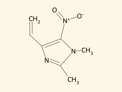 C=Cc1nc(C)n(C)c1[N+](=O)[O-]